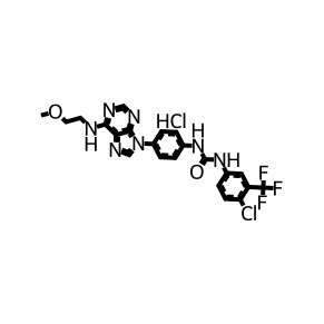 COCCNc1ncnc2c1ncn2-c1ccc(NC(=O)Nc2ccc(Cl)c(C(F)(F)F)c2)cc1.Cl